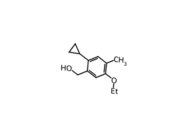 CCOc1cc(CO)c(C2CC2)cc1C